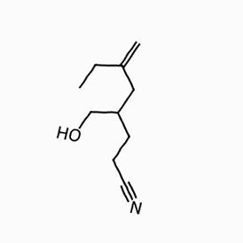 C=C(CC)CC(CO)CCC#N